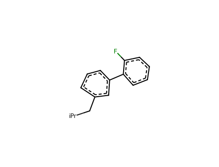 CC(C)Cc1cccc(-c2ccccc2F)c1